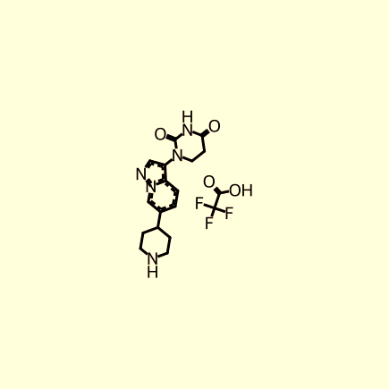 O=C(O)C(F)(F)F.O=C1CCN(c2cnn3cc(C4CCNCC4)ccc23)C(=O)N1